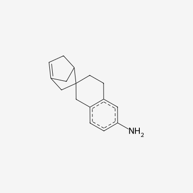 Nc1ccc2c(c1)CCC1(CC3=CCC1C3)C2